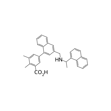 Cc1cc(-c2cc(CNC(C)c3cccc4ccccc34)cc3ccccc23)cc(C(=O)O)c1C